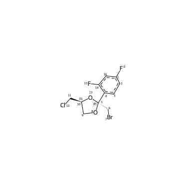 Fc1ccc([C@@]2(CBr)OC[C@@H](CCl)O2)c(F)c1